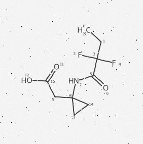 CCC(F)(F)C(=O)NC1(CC(=O)O)CC1